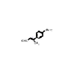 CCCCCc1ccc(/C(C)=C/C=O)cc1